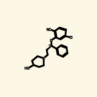 N#Cc1ccc(Cl)cc1O[C@H](CCN1CCC(O)CC1)c1ccccc1